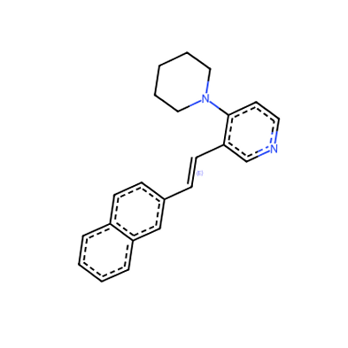 C(=C\c1cnccc1N1CCCCC1)/c1ccc2ccccc2c1